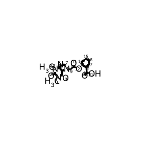 Cn1c(=O)c2c(ncn2CC(=O)Oc2ccccc2C(=O)O)n(C)c1=O